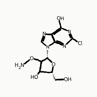 NOC1C(O)[C@@H](CO)O[C@H]1n1cnc2c(O)nc(Cl)nc21